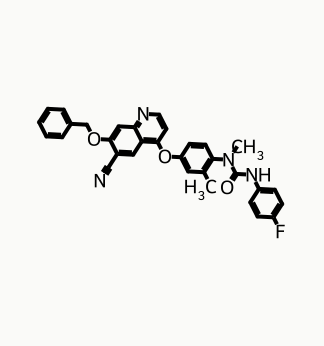 Cc1cc(Oc2ccnc3cc(OCc4ccccc4)c(C#N)cc23)ccc1N(C)C(=O)Nc1ccc(F)cc1